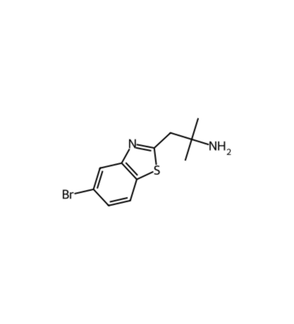 CC(C)(N)Cc1nc2cc(Br)ccc2s1